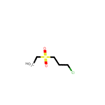 O=C(O)CS(=O)(=O)CCCCl